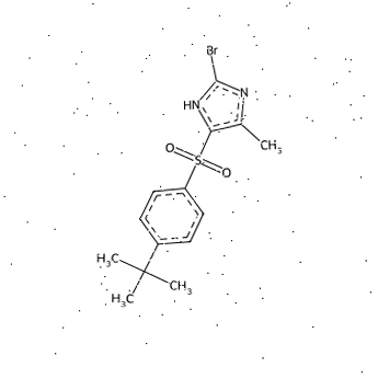 Cc1nc(Br)[nH]c1S(=O)(=O)c1ccc(C(C)(C)C)cc1